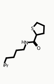 CC(C)CCCCNC(=O)C1CCCS1